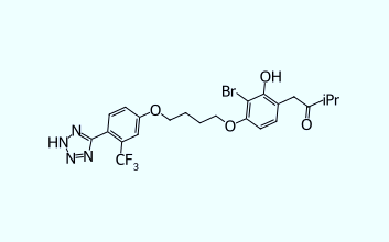 CC(C)C(=O)Cc1ccc(OCCCCOc2ccc(-c3nn[nH]n3)c(C(F)(F)F)c2)c(Br)c1O